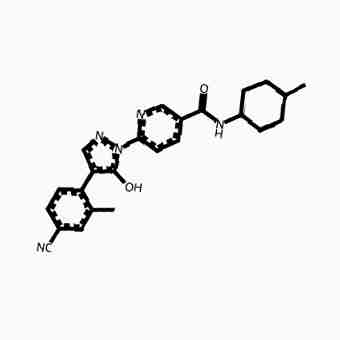 Cc1cc(C#N)ccc1-c1cnn(-c2ccc(C(=O)NC3CCC(C)CC3)cn2)c1O